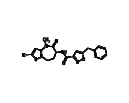 CN1C(=O)C(NC(=O)c2cc(Cc3ccccc3)on2)CCc2sc(Cl)cc21